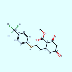 COC(=O)C1C(=O)CC(=O)CC1CCSc1ccc(C(F)(F)F)cc1